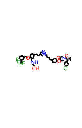 CC(C)[C@H](C(=O)N1CCC2(CC1)Oc1ccc(CCCCn3cc(CCc4ccc(OCc5ccc(F)c(C(F)(F)F)c5)c(CNCCO)c4)cn3)cc1O2)c1ccc(Cl)cc1